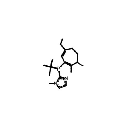 CCC1=CC(P(c2nccn2C)C(C)(C)C)=C(C)C(C)CC1